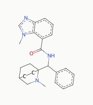 CN1CC2CCC1(C(NC(=O)c1cccc3ncn(C)c13)c1ccccc1)CC2